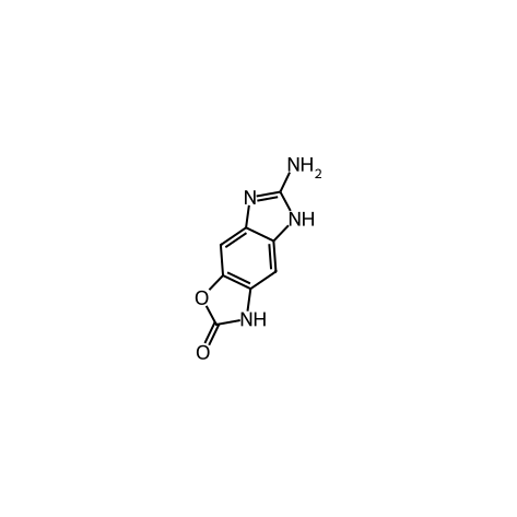 Nc1nc2cc3oc(=O)[nH]c3cc2[nH]1